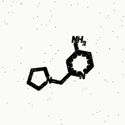 Nc1ccnc(CN2CCCC2)c1